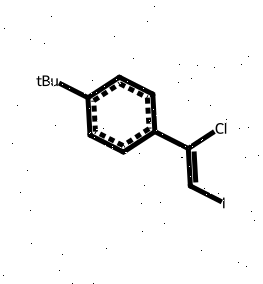 CC(C)(C)c1ccc(C(Cl)=CI)cc1